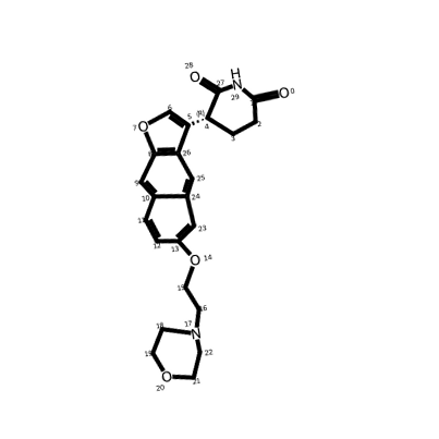 O=C1CC[C@H](c2coc3cc4ccc(OCCN5CCOCC5)cc4cc23)C(=O)N1